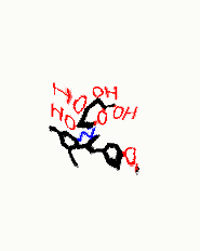 COc1ccc(Cc2cn([C@@H]3O[C@H](CO)[C@@H](O)[C@H](O)[C@H]3O)c3cc(C)cc(C)c23)cc1